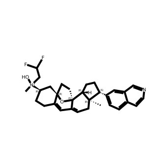 C[C@]12CC=C3C=C4CC[C@@H]([N+](C)(O)CC(F)F)C[C@]45CC[C@]3(O5)[C@@H]1CC[C@@H]2c1ccc2ccncc2c1